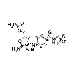 CC(=O)OCCCc1c(C(N)=O)nnn1-c1ccc(C(=O)NCC(F)(F)F)cc1